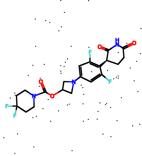 O=C1CC[C@@H](c2c(F)cc(N3CC(OC(=O)N4CCC(F)(F)CC4)C3)cc2F)C(=O)N1